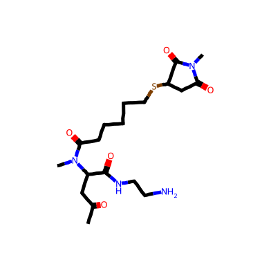 CC(=O)CC(C(=O)NCCN)N(C)C(=O)CCCCCSC1CC(=O)N(C)C1=O